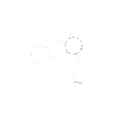 O=Cc1c(F)ccc(CCC(=O)C(F)(F)F)c1OC1CCCCO1